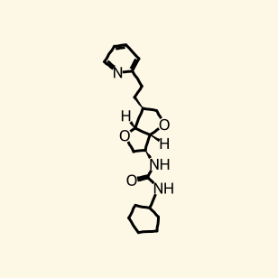 O=C(NC1CCCCC1)N[C@H]1CO[C@@H]2[C@@H](CCc3ccccn3)CO[C@@H]21